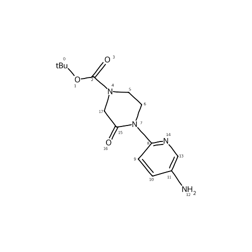 CC(C)(C)OC(=O)N1CCN(c2ccc(N)cn2)C(=O)C1